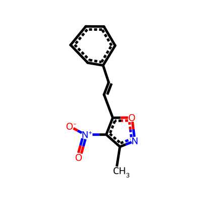 Cc1noc(/C=C/c2ccccc2)c1[N+](=O)[O-]